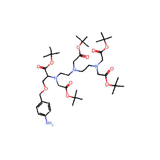 CC(C)(C)OC(=O)CN(CCN(CC(=O)OC(C)(C)C)CC(=O)OC(C)(C)C)CCN(CC(=O)OC(C)(C)C)C(COCc1ccc(N)cc1)C(=O)OC(C)(C)C